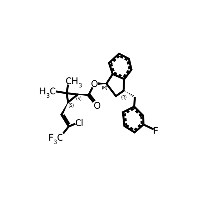 CC1(C)[C@H](C=C(Cl)C(F)(F)F)[C@@H]1C(=O)O[C@@H]1C[C@@H](Cc2cccc(F)c2)c2ccccc21